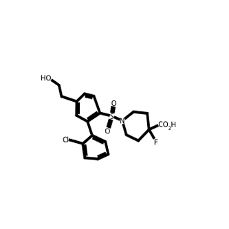 O=C(O)C1(F)CCN(S(=O)(=O)c2ccc(CCO)cc2-c2ccccc2Cl)CC1